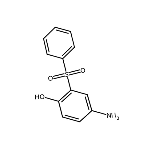 Nc1ccc(O)c(S(=O)(=O)c2ccccc2)c1